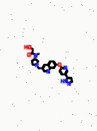 CN(C(=O)CO)[C@H]1CCN(Cc2cnc3cc(Oc4ccc(-c5ccn[nH]5)cn4)ccc3c2)C1